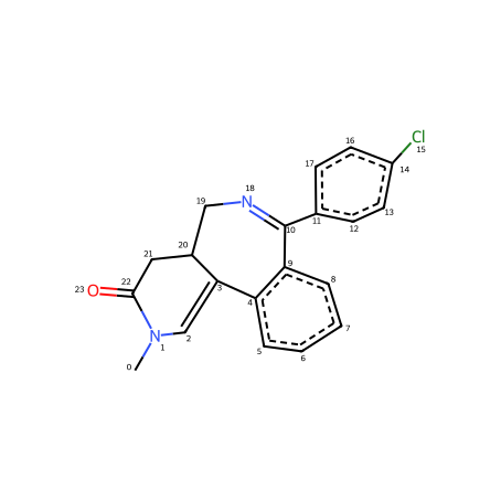 CN1C=C2c3ccccc3C(c3ccc(Cl)cc3)=NCC2CC1=O